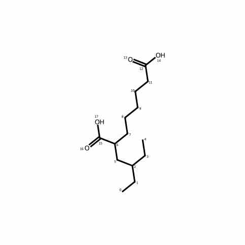 CCC(CC)CC(CCCCCC(=O)O)C(=O)O